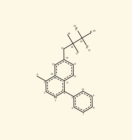 Cc1cnc(-c2ccccc2)c2ccc(CC(C)(C)C(F)(F)F)cc12